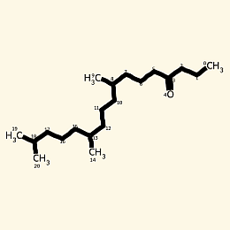 CCCC(=O)CCCC(C)CCCC(C)CCCC(C)C